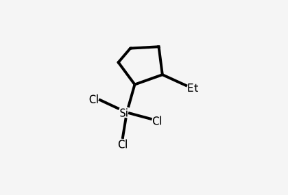 CCC1CCCC1[Si](Cl)(Cl)Cl